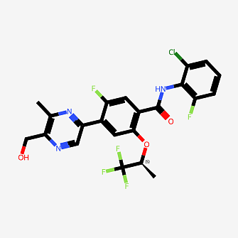 Cc1nc(-c2cc(O[C@@H](C)C(F)(F)F)c(C(=O)Nc3c(F)cccc3Cl)cc2F)cnc1CO